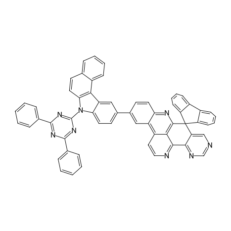 c1ccc(-c2nc(-c3ccccc3)nc(-n3c4ccc(-c5ccc6nc7c8c(nccc8c6c5)-c5ncncc5C75c6ccccc6-c6ccccc65)cc4c4c5ccccc5ccc43)n2)cc1